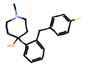 CN1CCC(O)(c2ccccc2Cc2ccc(F)cc2)CC1